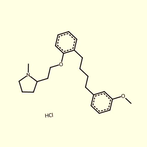 COc1cccc(CCCCc2ccccc2OCCC2CCCN2C)c1.Cl